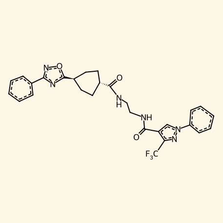 O=C(NCCNC(=O)[C@H]1CC[C@H](c2nc(-c3ccccc3)no2)CC1)c1cn(-c2ccccc2)nc1C(F)(F)F